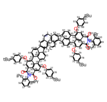 C=Cc1cc(/C=C\c2cc3c(cc2C)-c2ccc4c5c(Oc6ccc(C(C)(C)C)cc6)cc6c7c(cc(Oc8ccc(C(C)(C)C)cc8)c(c8ccc-3c2c48)c75)C(=O)N(c2c(C(C)C)cccc2C(C)C)C6=O)cc2c1-c1ccc3c4c(Oc5ccc(C(C)(C)C)cc5)cc5c6c(cc(Oc7ccc(C(C)(C)C)cc7)c(c7ccc-2c1c73)c64)C(=O)N(c1c(C(C)C)cccc1C(C)C)C5=O